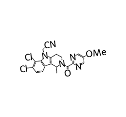 COc1cnc(C(=O)N2CCc3c(c4ccc(Cl)c(Cl)c4n3CC#N)C2C)nc1